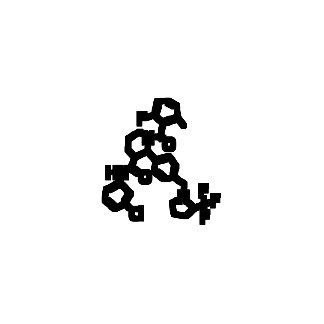 Cc1cccc(F)c1C(=O)N1CCCC(C(=O)Nc2cccc(Cl)c2)C1c1ccc(CN2CCCC2C(F)(F)F)cc1